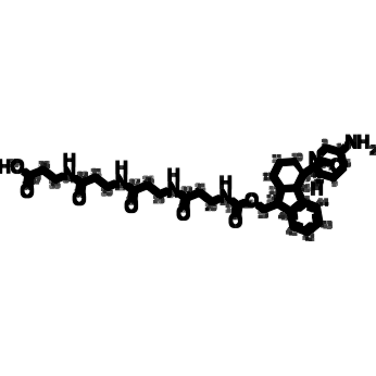 NC1CN2CCC1C[C@H]2[C@@H]1CCCC2C(COC(=O)NCCC(=O)NCCC(=O)NCCC(=O)NCCC(=O)O)c3ccccc3C21